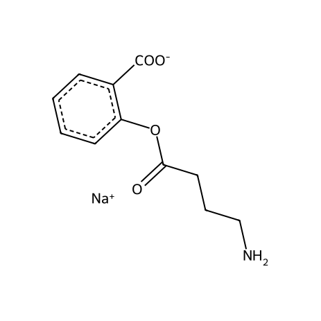 NCCCC(=O)Oc1ccccc1C(=O)[O-].[Na+]